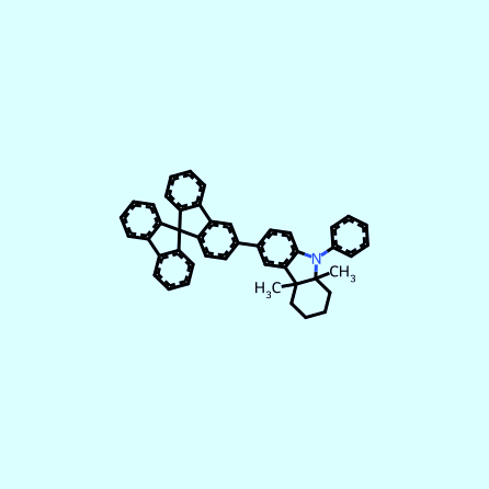 CC12CCCCC1(C)N(c1ccccc1)c1ccc(-c3ccc4c(c3)-c3ccccc3C43c4ccccc4-c4ccccc43)cc12